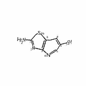 Nc1nc2ncc(S)cc2s1